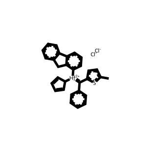 Cc1ccc([C](c2ccccc2)=[Hf+2]([c]2cccc3c2Cc2ccccc2-3)[CH]2C=CC=C2)s1.[Cl-].[Cl-]